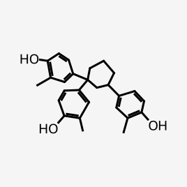 Cc1cc(C2CCCC(c3ccc(O)c(C)c3)(c3ccc(O)c(C)c3)C2)ccc1O